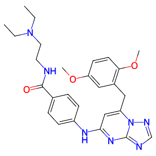 CCN(CC)CCNC(=O)c1ccc(Nc2cc(Cc3cc(OC)ccc3OC)n3ncnc3n2)cc1